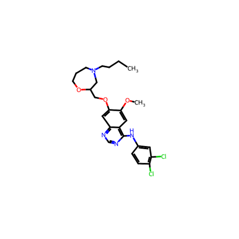 CCCCN1CCCOC(COc2cc3ncnc(Nc4ccc(Cl)c(Cl)c4)c3cc2OC)C1